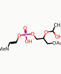 CN/C=C/OP(=O)(O)OCC(COC(C)=O)OC(C)O